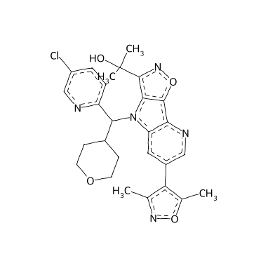 Cc1noc(C)c1-c1cnc2c3onc(C(C)(C)O)c3n(C(c3ccc(Cl)cn3)C3CCOCC3)c2c1